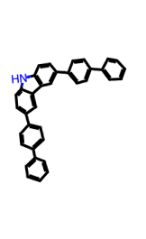 c1ccc(-c2ccc(-c3ccc4[nH]c5ccc(-c6ccc(-c7ccccc7)cc6)cc5c4c3)cc2)cc1